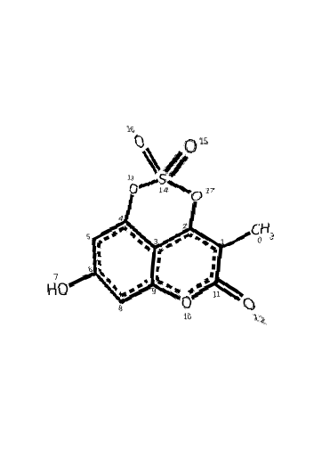 Cc1c2c3c(cc(O)cc3oc1=O)OS(=O)(=O)O2